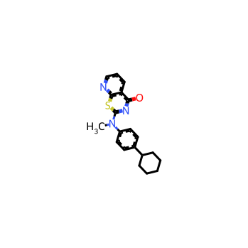 CN(c1ccc(C2CCCCC2)cc1)c1nc(=O)c2cccnc2s1